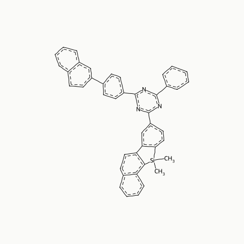 C[Si]1(C)c2ccc(-c3nc(-c4ccccc4)nc(-c4ccc(-c5ccc6ccccc6c5)cc4)n3)cc2-c2ccc3ccccc3c21